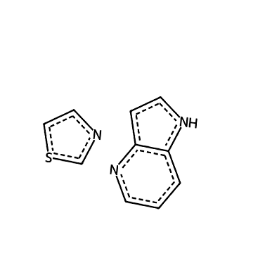 c1cnc2cc[nH]c2c1.c1cscn1